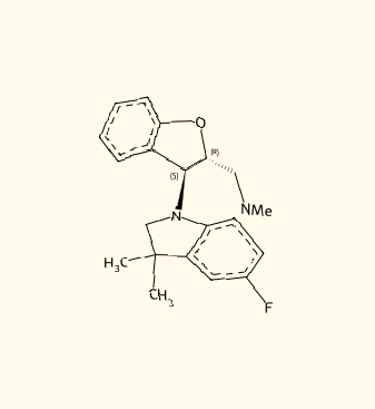 CNC[C@H]1Oc2ccccc2[C@@H]1N1CC(C)(C)c2cc(F)ccc21